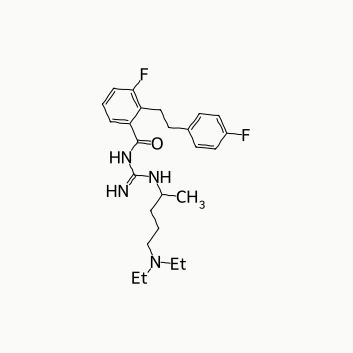 CCN(CC)CCCC(C)NC(=N)NC(=O)c1cccc(F)c1CCc1ccc(F)cc1